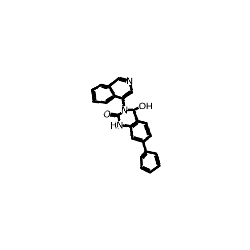 O=C1Nc2cc(-c3ccccc3)ccc2C(O)N1c1cncc2ccccc12